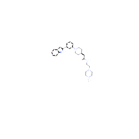 CC(C)N1CCN(CCNC(=O)C=C2CCN(c3cccc(-c4cc5ccccc5[nH]4)c3)CC2)CC1